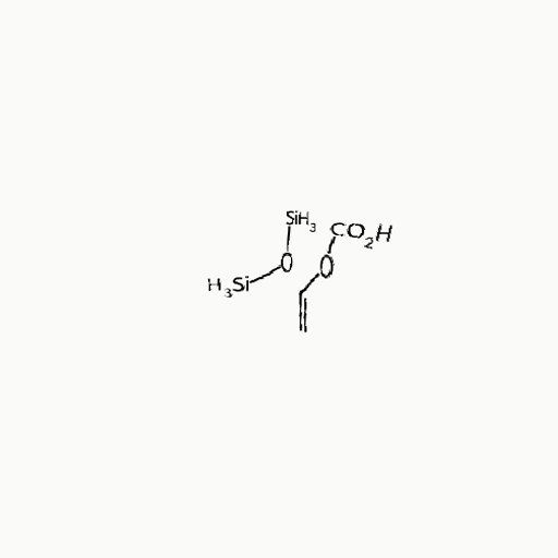 C=COC(=O)O.[SiH3]O[SiH3]